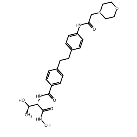 C[C@@H](O)[C@H](NC(=O)c1ccc(CCc2ccc(NC(=O)CN3CCOCC3)cc2)cc1)C(=O)NO